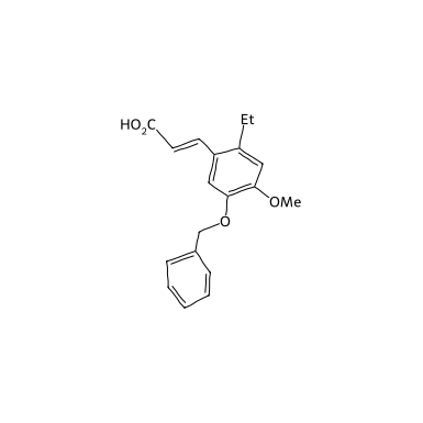 CCc1cc(OC)c(OCc2ccccc2)cc1C=CC(=O)O